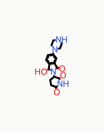 O=C1CCC(N2C(=O)c3cc(N4CCNCC4)ccc3C2O)C(=O)N1